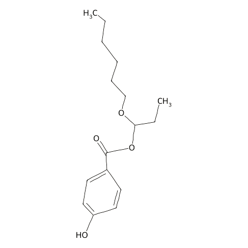 CCCCCCOC(CC)OC(=O)c1ccc(O)cc1